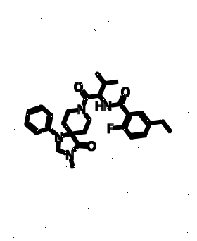 CCc1ccc(F)c(C(=O)NC(C(=O)N2CCC3(CC2)C(=O)N(C)CN3c2ccccc2)C(C)C)c1